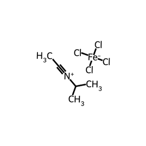 CC#[N+]C(C)C.[Cl][Fe-]([Cl])([Cl])[Cl]